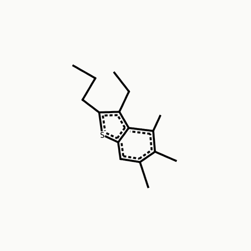 CCCc1sc2cc(C)c(C)c(C)c2c1CC